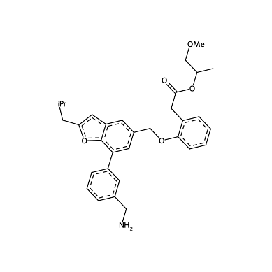 COCC(C)OC(=O)Cc1ccccc1OCc1cc(-c2cccc(CN)c2)c2oc(CC(C)C)cc2c1